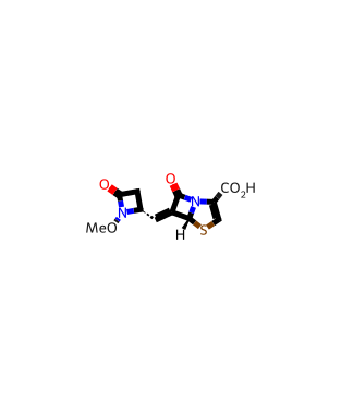 CON1C(=O)C[C@@H]1/C=C1\C(=O)N2C(C(=O)O)=CS[C@H]12